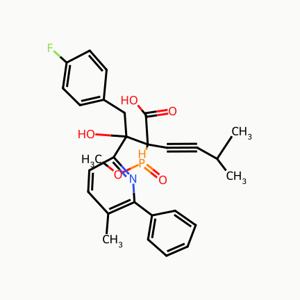 CO[PH](=O)C(C#CC(C)C)(C(=O)O)C(O)(Cc1ccc(F)cc1)c1ccc(C)c(-c2ccccc2)n1